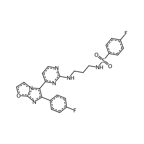 O=S(=O)(NCCCNc1nccc(-c2c(-c3ccc(F)cc3)nc3occn23)n1)c1ccc(F)cc1